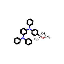 CO[Si](C)(C)c1ccc(N(c2ccccc2)c2cccc(N(c3ccccc3)c3ccccc3)c2)cc1